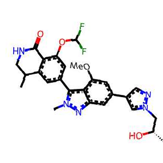 COc1cc(-c2cnn(C[C@H](C)O)c2)cc2nn(C)c(-c3cc(OC(F)F)c4c(c3)C(C)CNC4=O)c12